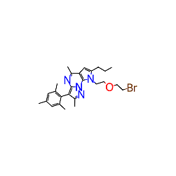 CCCc1cc2c(C)nc3c(-c4c(C)cc(C)cc4C)c(C)nn3c2n1CCOCCBr